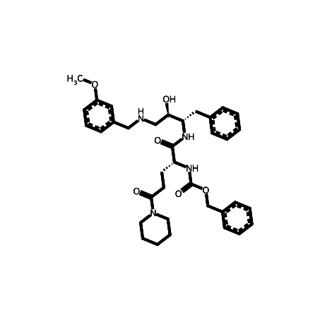 COc1cccc(CNC[C@@H](O)[C@H](Cc2ccccc2)NC(=O)[C@@H](CCC(=O)N2CCCCC2)NC(=O)OCc2ccccc2)c1